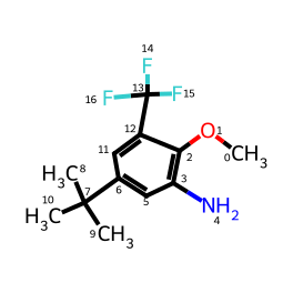 COc1c(N)cc(C(C)(C)C)cc1C(F)(F)F